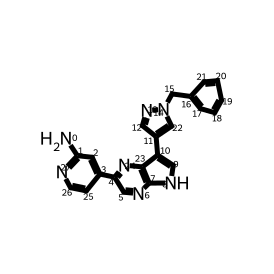 Nc1cc(-c2cnc3[nH]cc(-c4cnn(Cc5ccccc5)c4)c3n2)ccn1